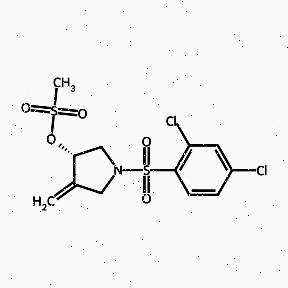 C=C1CN(S(=O)(=O)c2ccc(Cl)cc2Cl)C[C@H]1OS(C)(=O)=O